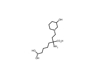 NC(CCCCB(O)O)(CCN1CCCC(O)C1)C(=O)O